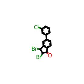 O=C1c2ccc(-c3cccc(Cl)c3)cc2C(Br)C1Br